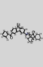 CCn1c2ccc(C(=O)c3ccccc3C)cc2c2cc(/C(C)=N/OC(=O)C3(N4CCCCC4)CCCCC3)ccc21